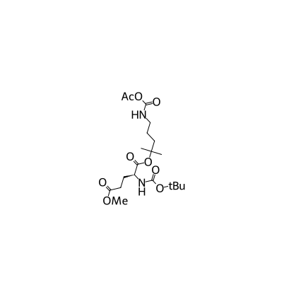 COC(=O)CC[C@H](NC(=O)OC(C)(C)C)C(=O)OC(C)(C)CCCNC(=O)OC(C)=O